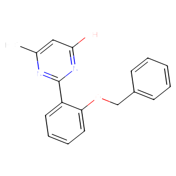 Cc1cc(O)nc(-c2ccccc2OCc2ccccc2)n1